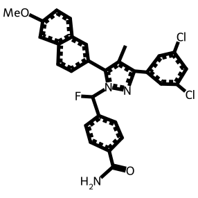 COc1ccc2cc(-c3c(C)c(-c4cc(Cl)cc(Cl)c4)nn3C(F)c3ccc(C(N)=O)cc3)ccc2c1